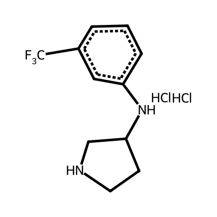 Cl.Cl.FC(F)(F)c1cccc(NC2CCNC2)c1